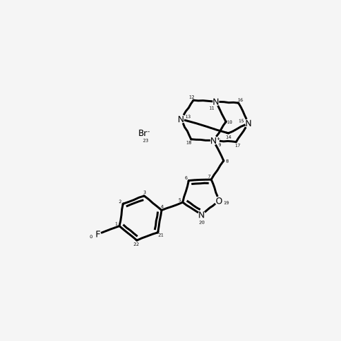 Fc1ccc(-c2cc(C[N+]34CN5CN(CN(C5)C3)C4)on2)cc1.[Br-]